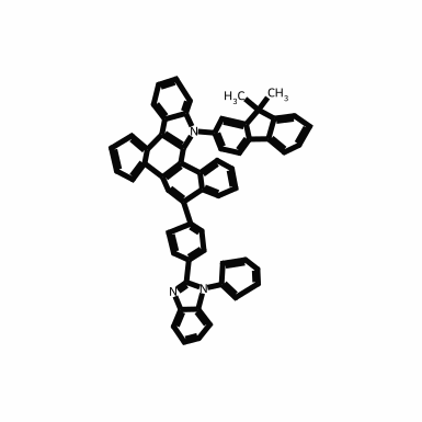 CC1(C)c2ccccc2-c2ccc(-n3c4ccccc4c4c5ccccc5c5cc(-c6ccc(-c7nc8ccccc8n7-c7ccccc7)cc6)c6ccccc6c5c43)cc21